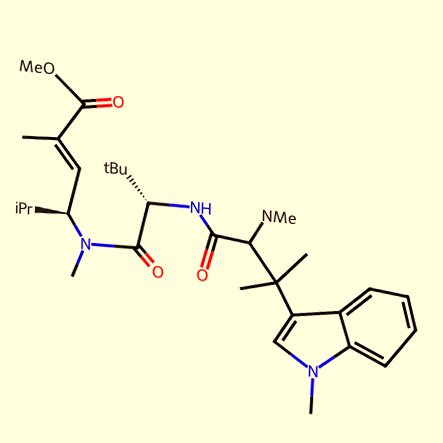 CNC(C(=O)N[C@H](C(=O)N(C)[C@H](/C=C(\C)C(=O)OC)C(C)C)C(C)(C)C)C(C)(C)c1cn(C)c2ccccc12